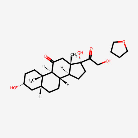 C1CCOC1.C[C@]12CC[C@@H](O)C[C@H]1CC[C@@H]1[C@@H]2C(=O)C[C@@]2(C)[C@H]1CC[C@]2(O)C(=O)CO